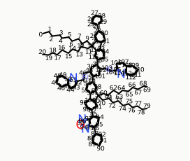 CCCCCCCCCCC1(CCCCCCCCCC)c2cc(-c3ccccc3)ccc2-c2ccc(-c3cc(/C=C/c4ccc5ccccc5n4)c(-c4ccc5c(c4)C(CCCCCCCCCC)(CCCCCCCCCC)c4cc(-c6ccc(-c7ccccc7)c7nonc67)ccc4-5)cc3/C=C/c3ccc4ccccc4n3)cc21